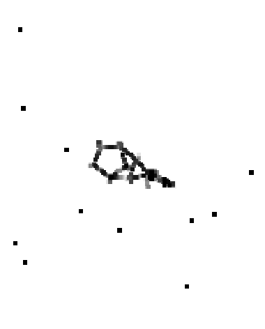 [N-]=[N+]1C2C3CCC(C3)C21